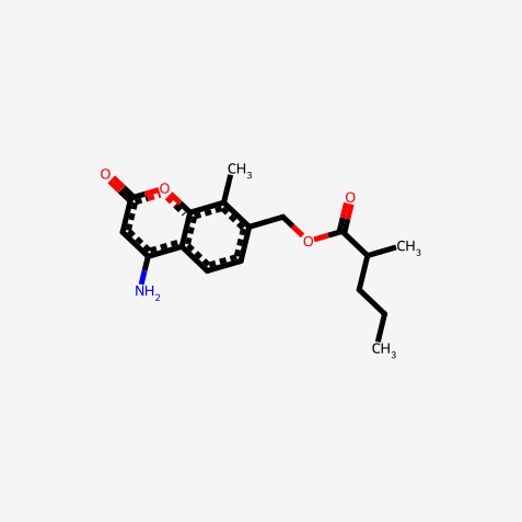 CCCC(C)C(=O)OCc1ccc2c(N)cc(=O)oc2c1C